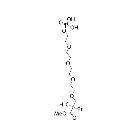 CCC(C)(COCCOCCOCCOCCOP(=O)(O)O)C(=O)OC